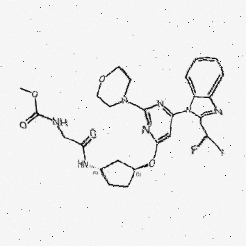 COC(=O)NCC(=O)N[C@H]1CC[C@H](Oc2cc(-n3c(C(F)F)nc4ccccc43)nc(N3CCOCC3)n2)C1